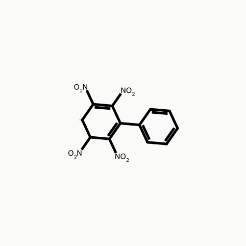 O=[N+]([O-])C1=C([N+](=O)[O-])C(c2ccccc2)=C([N+](=O)[O-])C([N+](=O)[O-])[CH]1